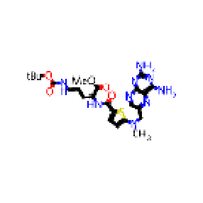 COC(=O)[C@H](CCCNC(=O)OC(C)(C)C)NC(=O)c1ccc(N(C)Cc2cnc3nc(N)nc(N)c3n2)s1